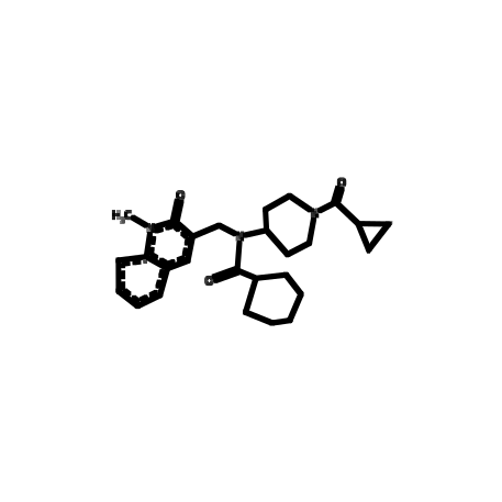 Cn1c(=O)c(CN(C(=O)C2CCCCC2)C2CCN(C(=O)C3CC3)CC2)cc2ccccc21